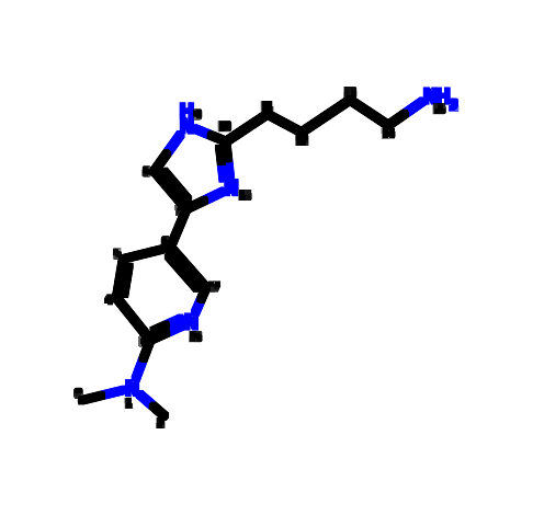 CN(C)c1ccc(-c2c[nH]c(CCCCN)n2)cn1